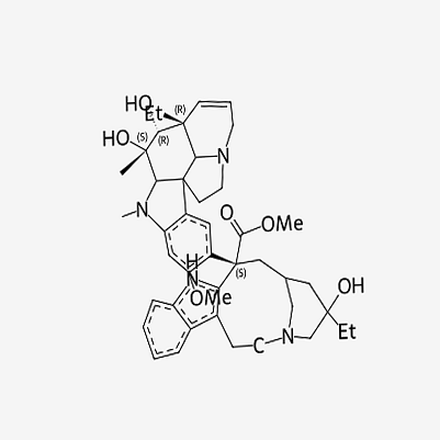 CCC1(O)CC2CN(CCc3c([nH]c4ccccc34)[C@@](C(=O)OC)(c3cc4c(cc3OC)N(C)C3C45CCN4CC=C[C@](CC)(C45)[C@@H](O)[C@@]3(C)O)C2)C1